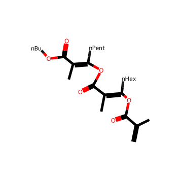 C=C(C)C(=O)OC(CCCCCC)=C(C)C(=O)OC(CCCCC)=C(C)C(=O)OCCCC